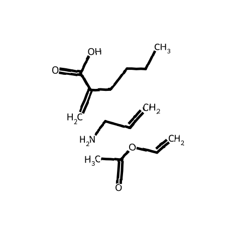 C=C(CCCC)C(=O)O.C=CCN.C=COC(C)=O